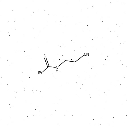 CC(C)C(=S)NCCC#N